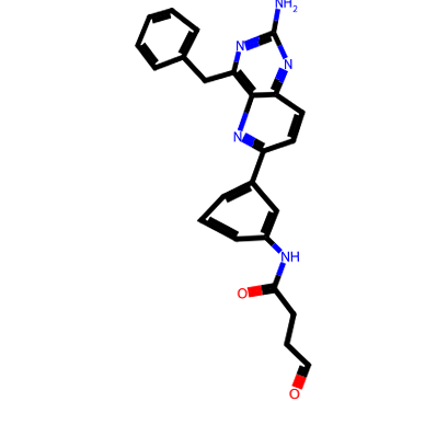 Nc1nc(Cc2ccccc2)c2nc(-c3cccc(NC(=O)CCC=O)c3)ccc2n1